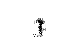 COCc1ccc(Cc2cc(C(=O)Nc3cc(Cl)cc(NS(C)(=O)=O)c3)c[nH]2)nc1